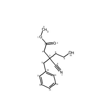 COC(=O)CC(C#N)(CCO)Cc1ccccc1